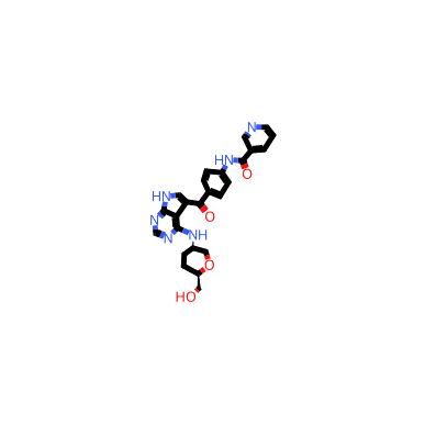 O=C(Nc1ccc(C(=O)c2c[nH]c3ncnc(N[C@H]4CC[C@H](CO)OC4)c23)cc1)c1cccnc1